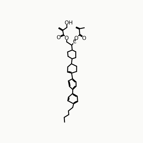 C=C(C)C(=O)OCC(COC(=O)C(=C)CO)C1CCC(C2CC=C(c3ccc(-c4ccc(CCCCC)cc4)cc3)CC2)CC1